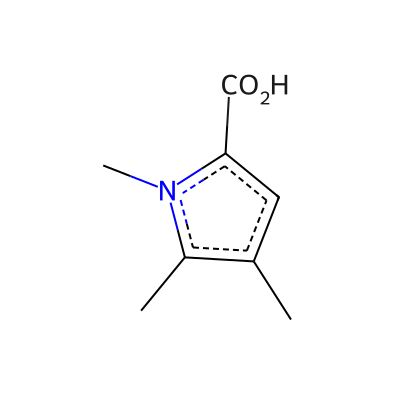 Cc1cc(C(=O)O)n(C)c1C